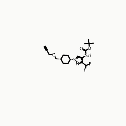 C#CCOC[C@H]1CC[C@H](n2cc(NC(=O)OC(C)(C)C)c(C(F)F)n2)CC1